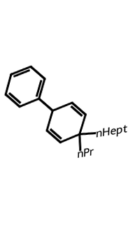 CCCCCCCC1(CCC)C=CC(c2ccccc2)C=C1